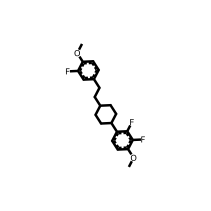 COc1ccc(CCC2CCC(c3ccc(OC)c(F)c3F)CC2)cc1F